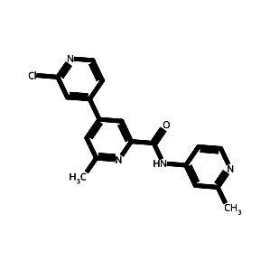 Cc1cc(NC(=O)c2cc(-c3ccnc(Cl)c3)cc(C)n2)ccn1